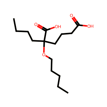 CCCCCOC(CCCC)(CCCC(=O)O)C(=O)O